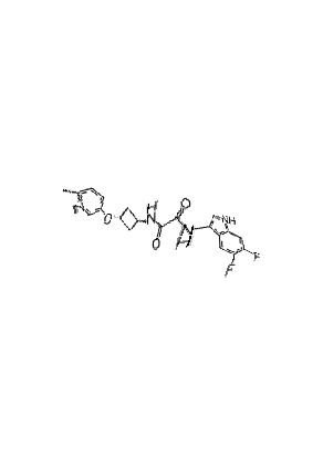 Cc1ccc(O[C@H]2C[C@H](NC(=O)C(=O)Nc3c[nH]c4cc(F)c(F)cc34)C2)cn1